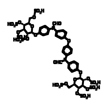 O=CN(c1ccc(Oc2ccc(N(C=O)c3ccc(O[C@@H]4O[C@H](COS(=O)(=O)O)[C@@H](OS(=O)(=O)O)[C@H](OS(=O)(=O)O)[C@H]4OS(=O)(=O)O)cc3)cc2)cc1)c1ccc(O[C@@H]2O[C@H](COS(=O)(=O)O)[C@@H](OS(=O)(=O)O)[C@H](OS(=O)(=O)O)[C@H]2OS(=O)(=O)O)cc1